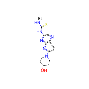 CCNC(=S)Nc1cnc2ccc(N3CCC(O)CC3)nc2n1